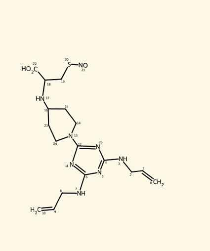 C=CCNc1nc(NCC=C)nc(N2CCC(NC(CSN=O)C(=O)O)CC2)n1